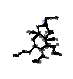 CCCCOC[C@H]1C[C@@H]2S/C(=N/CCC)N[C@@H]2[C@@H](OCCCC)[C@@H]1OCCCC